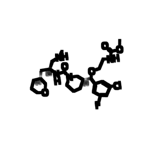 CNC[C@H](C[C@H]1CCCOC1)NC(=O)N1CCC[C@@H](C(OCCNC(=O)OC)c2cc(F)cc(Cl)c2)C1